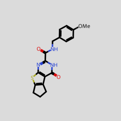 COc1ccc(CNC(=O)c2nc3sc4c(c3c(=O)[nH]2)CCC4)cc1